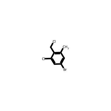 Cc1cc(Br)cc(Cl)c1CCl